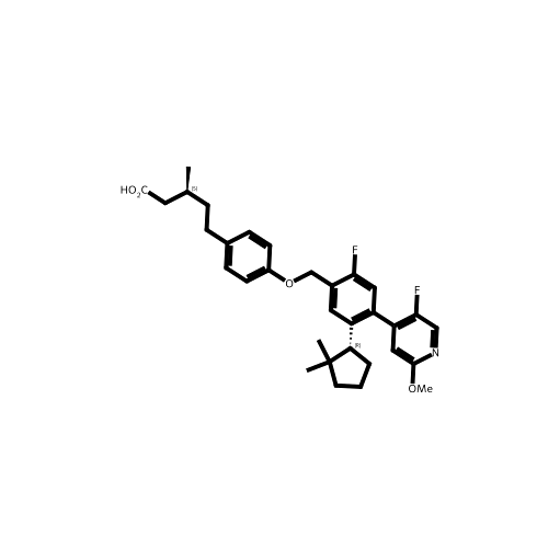 COc1cc(-c2cc(F)c(COc3ccc(CC[C@H](C)CC(=O)O)cc3)cc2[C@@H]2CCCC2(C)C)c(F)cn1